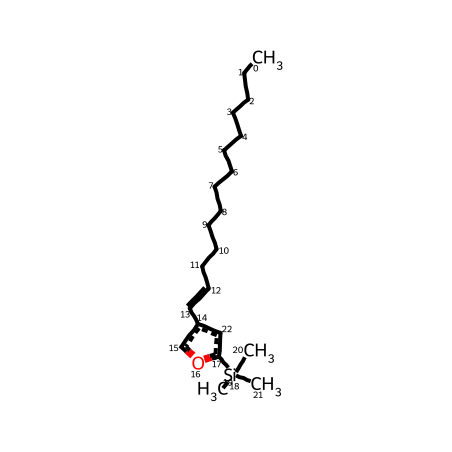 CCCCCCCCCCCCC=Cc1coc([Si](C)(C)C)c1